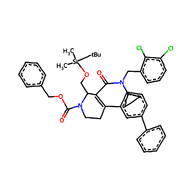 CC(C)(C)[Si](C)(C)OCC1C(C(=O)N(Cc2cccc(Cl)c2Cl)C2CC2)=C(c2cccc(-c3ccccc3)c2)CCN1C(=O)OCc1ccccc1